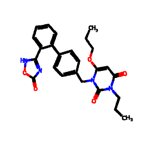 CCCOc1cc(=O)n(CCC)c(=O)n1Cc1ccc(-c2ccccc2-c2nc(=O)o[nH]2)cc1